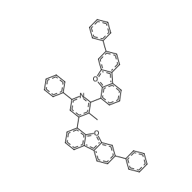 Cc1c(-c2cccc3c2oc2cc(-c4ccccc4)ccc23)cc(-c2ccccc2)nc1-c1cccc2c1oc1cc(-c3ccccc3)ccc12